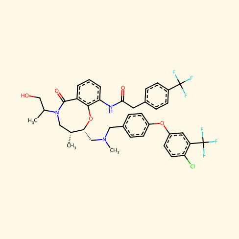 CC(CO)N1C[C@@H](C)[C@@H](CN(C)Cc2ccc(Oc3ccc(Cl)c(C(F)(F)F)c3)cc2)Oc2c(NC(=O)Cc3ccc(C(F)(F)F)cc3)cccc2C1=O